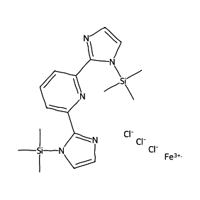 C[Si](C)(C)n1ccnc1-c1cccc(-c2nccn2[Si](C)(C)C)n1.[Cl-].[Cl-].[Cl-].[Fe+3]